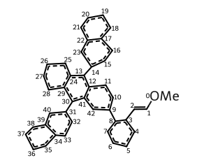 COC=Cc1ccccc1-c1ccc2c(-c3ccc4ccccc4c3)c3ccccc3c(-c3ccc4ccccc4c3)c2c1